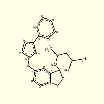 CC1CC(O)C[C@@]2(OCc3ccc(Cc4ccc(-c5ccccn5)s4)cc32)O1